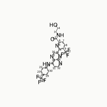 O=C(NCCO)c1ccc(C(F)(F)F)c(-c2cnc3c(Nc4ccc(C(F)(F)F)cc4)ccnc3n2)n1